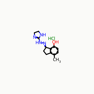 Cc1ccc(O)c2c1CCC2=NNC1=NCCN1.Cl